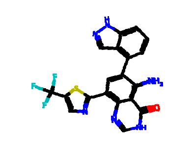 Nc1c(-c2cccc3[nH]ncc23)cc(-c2ncc(C(F)(F)F)s2)c2nc[nH]c(=O)c12